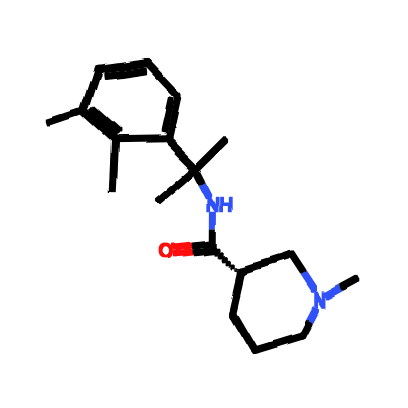 Cc1cccc(C(C)(C)NC(=O)[C@H]2CCCN(C)C2)c1C